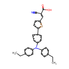 CCc1ccc(N(c2ccc(CC)cc2)c2ccc(-c3ccc(/C=C(\C#N)C(=O)O)s3)cc2)cc1